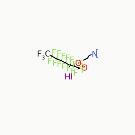 CN(C)CCCS(=O)(=O)C(F)(F)C(F)(F)C(F)(F)C(F)(F)C(F)(F)C(F)(F)C(F)(F)C(F)(F)F.I